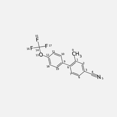 Cc1cc(C#N)ccc1-c1ccc(OC(F)(F)F)cc1